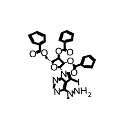 CN(N)c1ncnc2c1c(I)cn2[C@@H]1O[C@H](COC(=O)c2ccccc2)C(OC(=O)c2ccccc2)[C@@H]1OC(=O)c1ccccc1